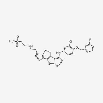 CS(=O)(=O)CCNCCn1ncc2c1CCc1c-2sc2ncnc(Nc3ccc(OCc4cccc(F)c4)c(Cl)c3)c12